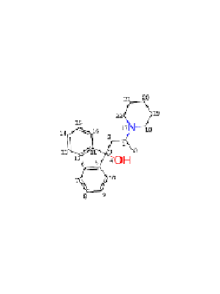 CC(CC(O)(c1ccccc1)c1ccccc1)N1CCCCC1